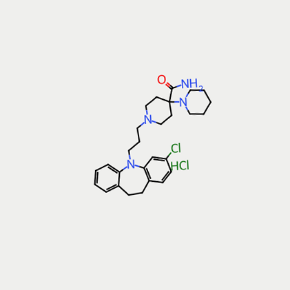 Cl.NC(=O)C1(N2CCCCC2)CCN(CCCN2c3ccccc3CCc3ccc(Cl)cc32)CC1